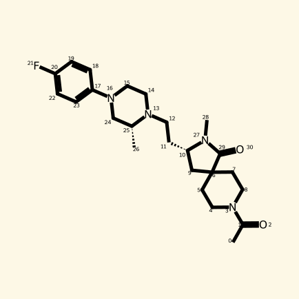 CC(=O)N1CCC2(CC1)C[C@H](CCN1CCN(c3ccc(F)cc3)C[C@H]1C)N(C)C2=O